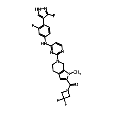 Cn1c(C(=O)N2CC(F)(F)C2)cc2c1CN(c1nccc(Nc3ccc(-c4c[nH]nc4F)c(F)c3)n1)CC2